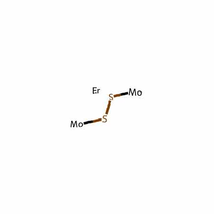 [Er].[Mo][S][S][Mo]